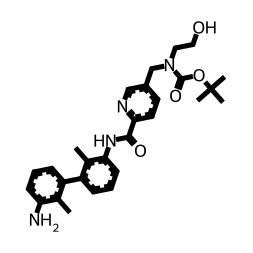 Cc1c(N)cccc1-c1cccc(NC(=O)c2ccc(CN(CCO)C(=O)OC(C)(C)C)cn2)c1C